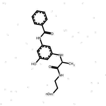 CCCCCCCCCCCCNC(=O)C(C)Nc1cc(O)cc(NC(=O)c2ccccc2)c1